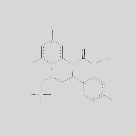 CC(C)(C)OC(=O)N1c2cc(F)cc(C(=O)O)c2N(O[Si](C)(C)C(C)(C)C)CC1c1ccc(F)cc1